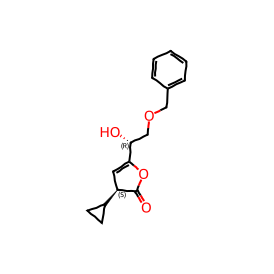 O=C1OC([C@H](O)COCc2ccccc2)=C[C@@H]1C1CC1